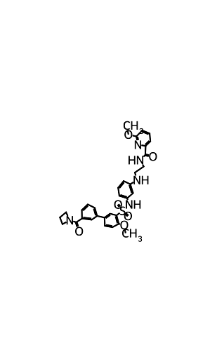 COc1cccc(C(=O)NCCNc2cccc(NS(=O)(=O)c3cc(-c4cccc(C(=O)N5CCC5)c4)ccc3OC)c2)n1